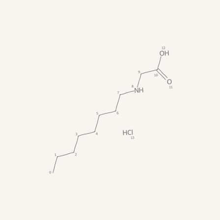 CCCCCCCCNCC(=O)O.Cl